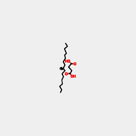 CCCCCCC[CH2][Sn][CH2]CCCCCCC.O=C(O)CCC(=O)O